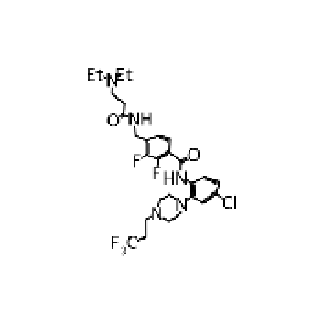 CCN(CC)CCC(=O)NCc1ccc(C(=O)Nc2ccc(Cl)cc2N2CCN(CCC(F)(F)F)CC2)c(F)c1F